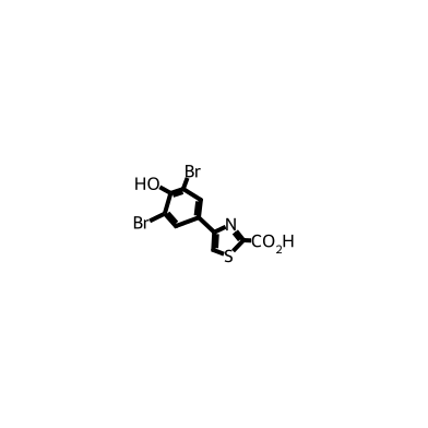 O=C(O)c1nc(-c2cc(Br)c(O)c(Br)c2)cs1